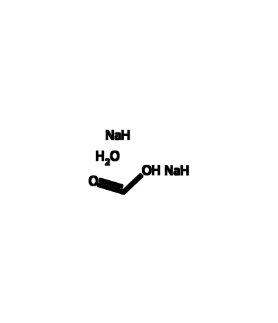 O.O=CO.[NaH].[NaH]